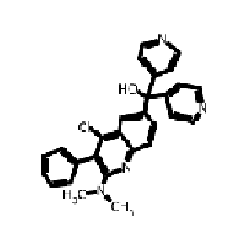 CN(C)c1nc2ccc(C(O)(c3ccncc3)c3ccncc3)cc2c(Cl)c1-c1ccccc1